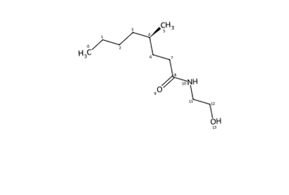 CCCC[C@@H](C)CCC(=O)NCCO